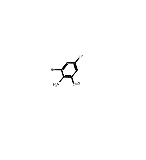 Nc1c(Br)cc(Br)cc1C=O